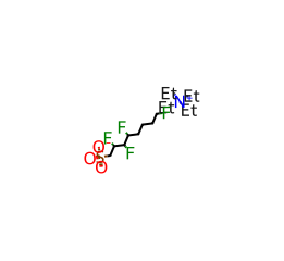 CC[N+](CC)(CC)CC.O=S(=O)([O-])CC(F)C(F)C(F)CCCCF